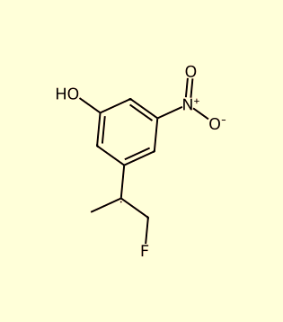 C[C](CF)c1cc(O)cc([N+](=O)[O-])c1